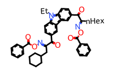 CCCCCCC(=NOC(=O)c1ccccc1)C(=O)c1ccc2c(c1)c1cc(C(=O)C(CC3CCCCC3)=NOC(=O)c3ccccc3)ccc1n2CC